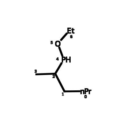 CCCCC(C)POCC